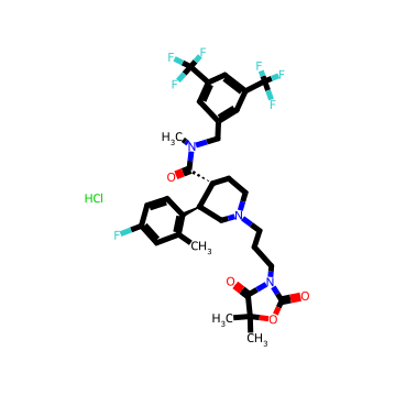 Cc1cc(F)ccc1[C@@H]1CN(CCCN2C(=O)OC(C)(C)C2=O)CC[C@H]1C(=O)N(C)Cc1cc(C(F)(F)F)cc(C(F)(F)F)c1.Cl